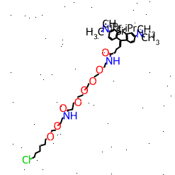 CC(C)[Si]1(C(C)C)c2cc(N(C)C)ccc2C(=CCCC(=O)NCCOCCOCCOCCOCCC(=O)NCCOCCOCCCCCCCl)c2ccc(N(C)C)cc21